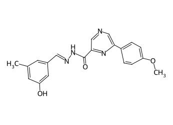 COc1ccc(-c2cncc(C(=O)N/N=C/c3cc(C)cc(O)c3)n2)cc1